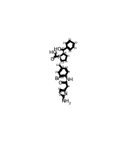 Nc1nc(CC(=O)Nc2ccc(C[C@H]3CC[C@H](C(O)c4ccccc4)N3C(=O)O)cc2Br)cs1